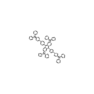 C1=CC(c2ccc(-c3c4ccc(N(c5ccccc5)c5ccccc5)cc4c(-c4ccc(-c5ccc(N(c6ccccc6)c6ccccc6)cc5)cc4)c4ccc(N(c5ccccc5)c5ccccc5)cc34)cc2)CC=C1N(c1ccccc1)c1ccccc1